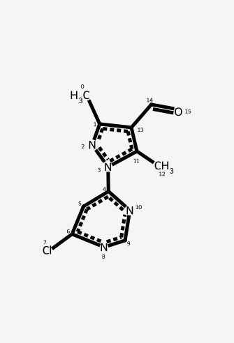 Cc1nn(-c2cc(Cl)ncn2)c(C)c1C=O